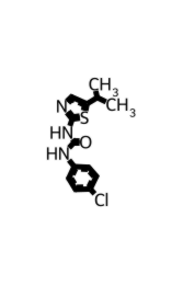 CC(C)c1cnc(NC(=O)Nc2ccc(Cl)cc2)s1